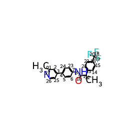 Cc1cc(-c2ccc(NC(=O)C(C)c3ccc(C(F)(F)F)cc3)cc2)ccn1